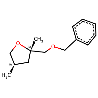 C[C@H]1CO[C@](C)(COCc2ccccc2)C1